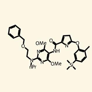 CCCN(CCOCc1ccccc1)c1nc(OC)c(NC(=O)C2=CCC(Oc3cc([Si](C)(C)C)ccc3C)=N2)c(OC)n1